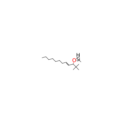 CCCCCCCC=CC(O[SiH](C)C)C(C)(C)C